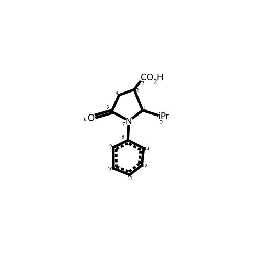 CC(C)C1C(C(=O)O)CC(=O)N1c1ccccc1